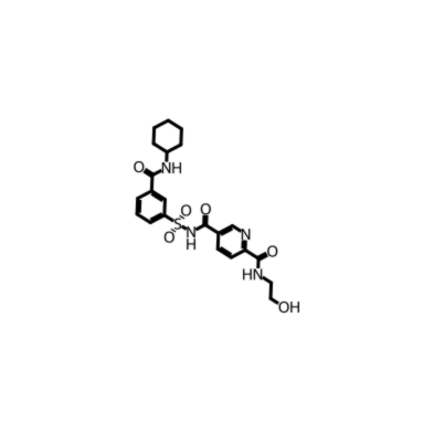 O=C(NC1CCCCC1)c1cccc(S(=O)(=O)NC(=O)c2ccc(C(=O)NCCO)nc2)c1